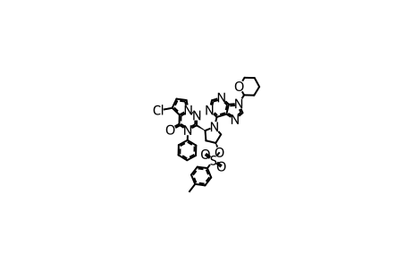 Cc1ccc(S(=O)(=O)O[C@H]2C[C@@H](c3nn4ccc(Cl)c4c(=O)n3-c3ccccc3)N(c3ncnc4c3ncn4C3CCCCO3)C2)cc1